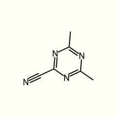 Cc1nc(C)nc(C#N)n1